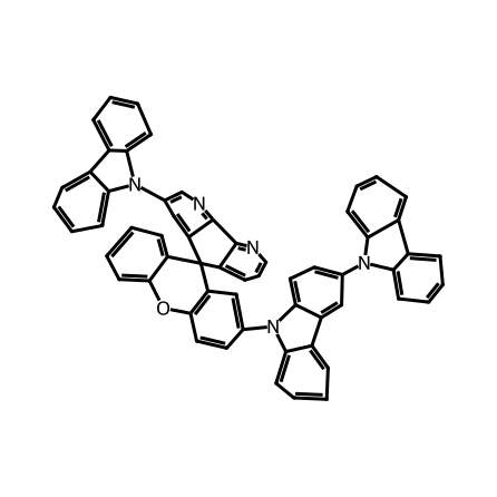 c1ccc2c(c1)Oc1ccc(-n3c4ccccc4c4cc(-n5c6ccccc6c6ccccc65)ccc43)cc1C21c2cccnc2-c2ncc(-n3c4ccccc4c4ccccc43)cc21